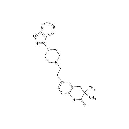 CC1(C)Cc2cc(CCN3CCN(c4noc5ccccc45)CC3)ccc2NC1=O